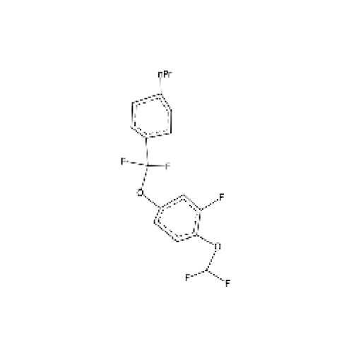 CCCc1ccc(C(F)(F)Oc2ccc(OC(F)F)c(F)c2)cc1